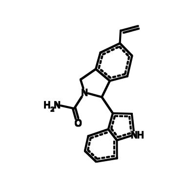 C=Cc1ccc2c(c1)CN(C(N)=O)C2c1c[nH]c2ccccc12